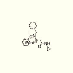 CCC[C@@H](C)[C@@H](CC(=O)NC1CC1)N(Cc1ccccc1)[C@@H](C)c1ccccc1